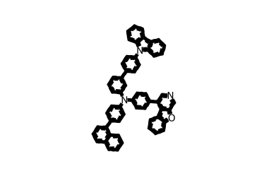 c1cc(-c2ccc(-n3c4ccccc4c4ccccc43)cc2)cc(N(c2ccc(-c3cccc4ccccc34)cc2)c2ccc(-c3cncc4oc5ccccc5c34)cc2)c1